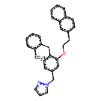 O=C(O)c1ccccc1Cc1ccc(Cn2cccn2)cc1OCCc1ccc2ccccc2c1